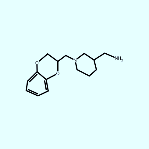 NCC1CCCN(CC2COc3ccccc3O2)C1